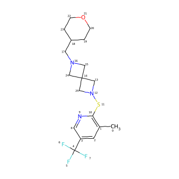 Cc1cc(C(F)(F)F)cnc1SN1CC2(CN(CC3CCOCC3)C2)C1